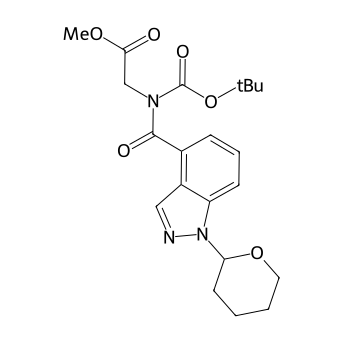 COC(=O)CN(C(=O)OC(C)(C)C)C(=O)c1cccc2c1cnn2C1CCCCO1